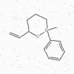 C=CC1CCC[Si](C)(c2ccccc2)O1